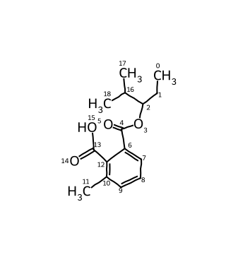 CCC(OC(=O)c1cccc(C)c1C(=O)O)C(C)C